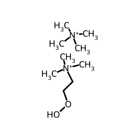 C[N+](C)(C)C.C[N+](C)(C)CCOO